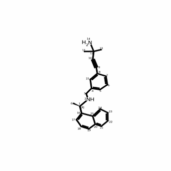 C[C@@H](NCc1cccc(C#CC(C)(C)N)c1)c1cccc2ccccc12